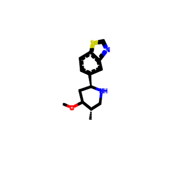 COC1C[C@@H](c2ccc3scnc3c2)NC[C@@H]1C